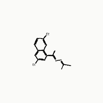 CCc1cc(/C(C)=N/N=C(C)C)c2cc(CC)ccc2c1